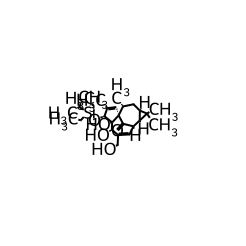 CC[Si](CC)(O[C@H]1C(C)=C[C@]23C(=O)[C@@H](C=C(CO)[C@@H](O)[C@]12O)[C@H]1[C@@H](C[C@H]3C)C1(C)C)C(C)C